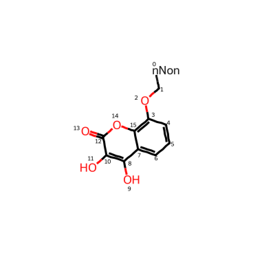 CCCCCCCCCCOc1cccc2c(O)c(O)c(=O)oc12